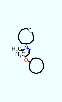 C=CN(/C=C\C(C)OC1CCCCCCCCCCC1)C1CCCCCCCCCCC1